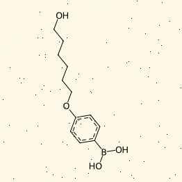 OCCCCCCOc1ccc(B(O)O)cc1